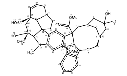 CCC1(O)CC2C[N@](CCc3c([nH]c4ccccc34)C(C(=O)OC)(c3cc4c(cc3OC)N(C)C3C45CCN4CC=C[C@](CC)(C45)[C@@H](O)[C@]3(O)C=O)C2)C1